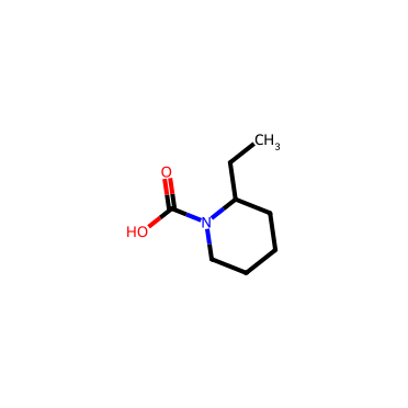 CCC1CCCCN1C(=O)O